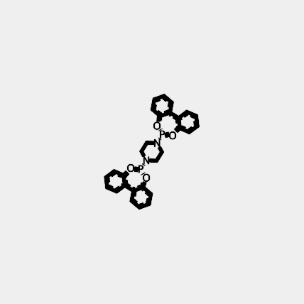 c1ccc2c(c1)op(N1CCN(p3oc4ccccc4c4ccccc4o3)CC1)oc1ccccc12